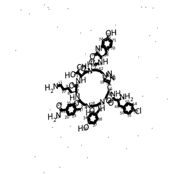 CC(O)C1NC(=O)[C@H](CCCCN)NC(=O)[C@@H](Cc2ccc(C(N)=O)cc2)NC(=O)[C@H](Cc2ccc(O)cc2)NC(=O)[C@@H](NC(=O)[C@@H](N)Cc2ccc(Cl)cc2)Cc2cn(nn2)C[C@@H](C(=O)N[C@H](Cc2ccc(O)cc2)C(N)=O)NC1=O